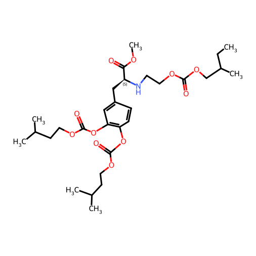 CCC(C)COC(=O)OCCN[C@@H](Cc1ccc(OC(=O)OCCC(C)C)c(OC(=O)OCCC(C)C)c1)C(=O)OC